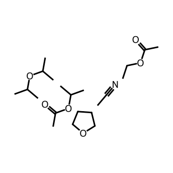 C1CCOC1.CC#N.CC(=O)OC(C)C.CC(C)OC(C)C.CCOC(C)=O